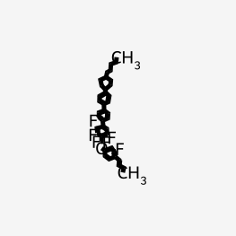 CC/C=C/c1ccc(OC(F)(F)c2c(F)cc(-c3ccc(-c4ccc(C5CCC(CCCCC)CC5)cc4)cc3F)cc2F)cc1F